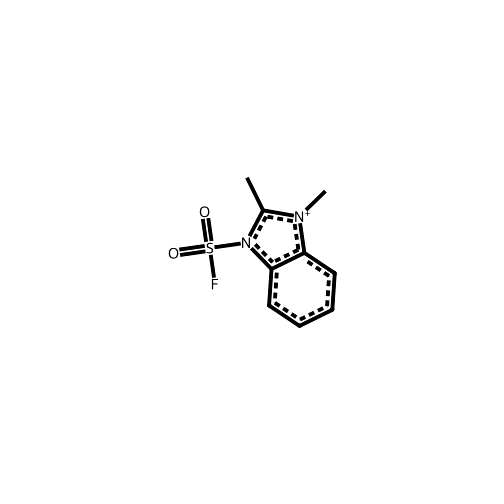 Cc1n(S(=O)(=O)F)c2ccccc2[n+]1C